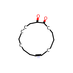 O=C1CCCCC/C=C\CCCCCCCC1=O